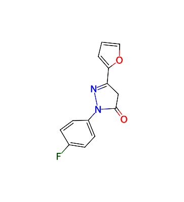 O=C1CC(c2ccco2)=NN1c1ccc(F)cc1